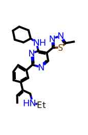 C/C=C(\CNCC)c1cccc(-c2ncc(-c3nnc(C)s3)c(NC3CCCCC3)n2)c1